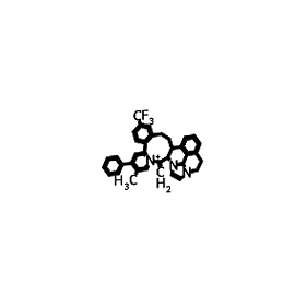 C=C1C2C(CCc3cc(C(F)(F)F)ccc3-c3cc(-c4ccccc4)c(C)c[n+]31)c1cccc3c1C1N(C=CN21)CC3